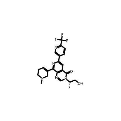 C[C@@H](CO)n1cnc2c(C3=CCCN(C)C3)nc(-c3ccc(C(F)(F)F)nc3)cc2c1=O